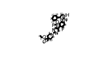 CCOC(=O)C1(C)CCN(c2ncc(-c3cc4c(cc3F)nc3n4C(c4ccccc4OC(F)F)CN3)cn2)CC1